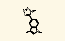 Cc1cn(C)c2ccc(-c3nnnn3C)cc12